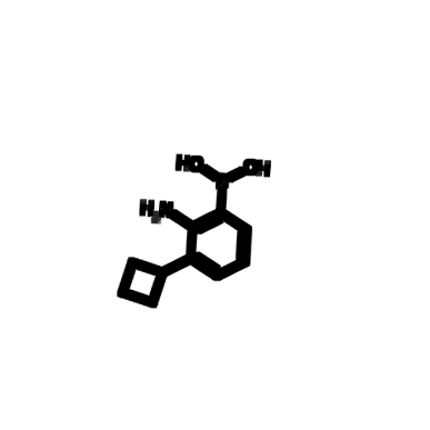 Nc1c(B(O)O)cccc1C1CCC1